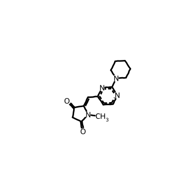 CN1C(=O)CC(=O)/C1=C/c1ccnc(N2CCCCC2)n1